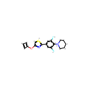 Fc1cc(-c2nc(OC3=CC=C3)cs2)cc(F)c1N1CC[CH]CC1